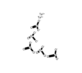 [O]=[Zr]([O-])[O-].[O]=[Zr]([O-])[O-].[O]=[Zr]([O-])[O-].[O]=[Zr]([O-])[O-].[O]=[Zr]([O-])[O-].[Ta+5].[Ta+5]